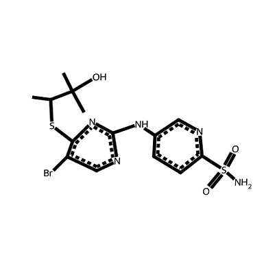 CC(Sc1nc(Nc2ccc(S(N)(=O)=O)nc2)ncc1Br)C(C)(C)O